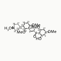 COc1cc(O)c(C(=O)C=Cc2c(OC)ccc(C3CCN(C)CC3)c2OC)c(OC)c1